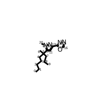 CCCCCC(C)(CCC)c1cc(-c2nnco2)nn1C